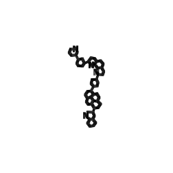 c1cncc(-c2cccc(-c3ccc4ccc5ccc(-c6ccc(-c7ccc8ccc9c(-c%10cnc%11ccccc%11c%10)ccc%10ccc7c8c%109)cc6)nc5c4n3)c2)c1